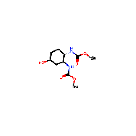 CC(C)(C)OC(=O)NC1CC(O)CC[C@@H]1NC(=O)OC(C)(C)C